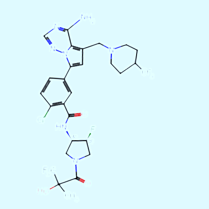 CC(O)(C(=O)N1C[C@H](F)[C@H](NC(=O)c2cc(-c3cc(CN4CCC(C(F)(F)F)CC4)c4c(N)ncnn34)ccc2Cl)C1)C(F)(F)F